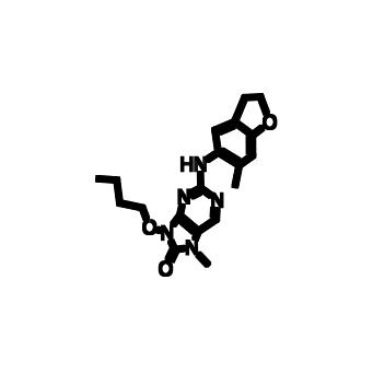 CCCCOn1c(=O)n(C)c2cnc(Nc3cc4c(cc3C)OCC4)nc21